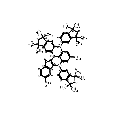 Cc1cc2c3c(c1)N(c1ccc4c(c1)C(C)(C)CC4(C)C)c1c(sc4ccc(C(C)(C)C)cc14)B3c1cc3c(cc1N2c1ccc2c(c1)C(C)(C)CC2(C)C)C(C)(C)CC3(C)C